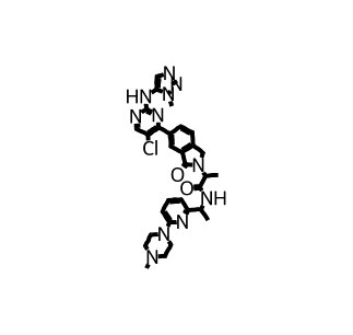 CC(NC(=O)C(C)N1Cc2ccc(-c3nc(Nc4cnnn4C)ncc3Cl)cc2C1=O)c1cccc(N2CCN(C)CC2)n1